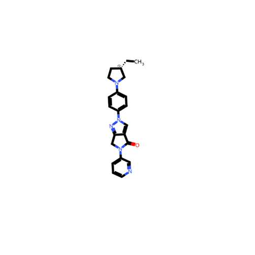 CC[C@H]1CCN(c2ccc(-n3cc4c(n3)CN(c3cccnc3)C4=O)cc2)C1